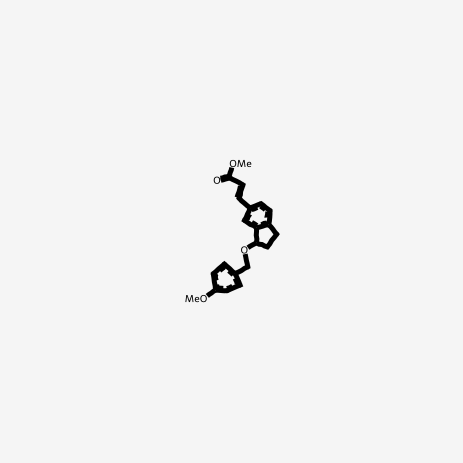 COC(=O)C=Cc1ccc2c(c1)C(OCc1ccc(OC)cc1)CC2